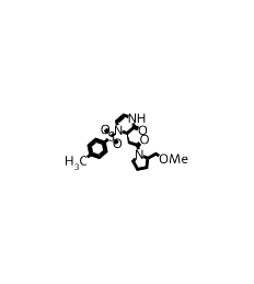 COCC1CCCN1C(=O)C[C@@H]1C(=O)NC=CN1S(=O)(=O)c1ccc(C)cc1